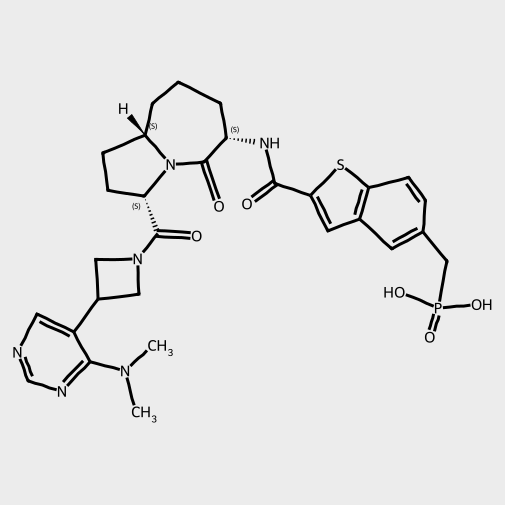 CN(C)c1ncncc1C1CN(C(=O)[C@@H]2CC[C@@H]3CCC[C@H](NC(=O)c4cc5cc(CP(=O)(O)O)ccc5s4)C(=O)N32)C1